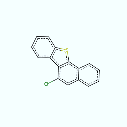 Clc1cc2ccccc2c2sc3ccccc3c12